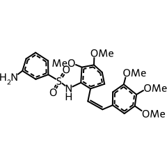 COc1cc(/C=C\c2ccc(OC)c(OC)c2NS(=O)(=O)c2cccc(N)c2)cc(OC)c1OC